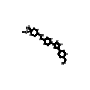 CC(C)Cc1ccc(-c2nc(-c3ccc(CNC4CCC(C)(C(=O)O)CC4)cc3)no2)cc1